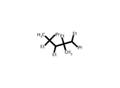 [CH2]C(C)C(C)(CC)C(CC)C(C)(CC)C(CC)C(C)C